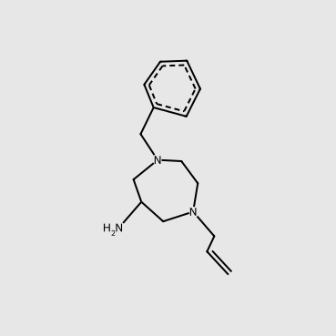 C=CCN1CCN(Cc2ccccc2)CC(N)C1